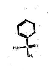 NP(N)(=O)C1=CC=CC[CH]1